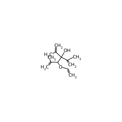 C=COC(C(=C)C)C(O)(C(=C)C)C(=C)C